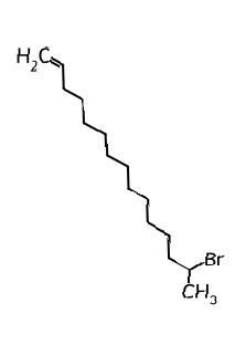 C=CCCCCCCCCCCCC(C)Br